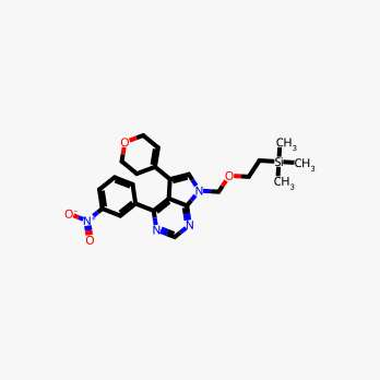 C[Si](C)(C)CCOCn1cc(C2=CCOCC2)c2c(-c3cccc([N+](=O)[O-])c3)ncnc21